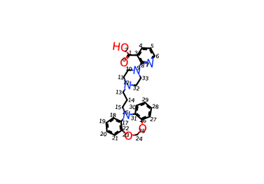 O=C(O)c1cccnc1N1CCN(CCCN2c3ccccc3OCOc3ccccc32)CC1